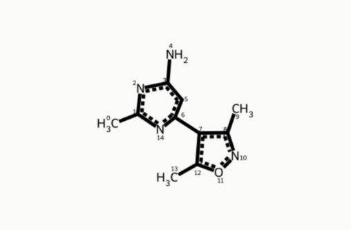 Cc1nc(N)cc(-c2c(C)noc2C)n1